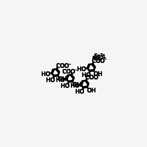 O=C([O-])c1cc(O)c(O)c(O)c1.O=C([O-])c1cc(O)c(O)c(O)c1.O=C([O-])c1cc(O)c(O)c(O)c1.O=C([O-])c1cc(O)c(O)c(O)c1.[Fe+2].[Mn+2]